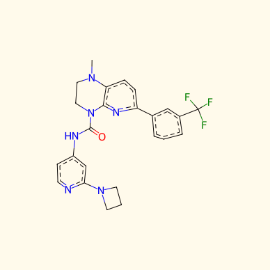 CN1CCN(C(=O)Nc2ccnc(N3CCC3)c2)c2nc(-c3cccc(C(F)(F)F)c3)ccc21